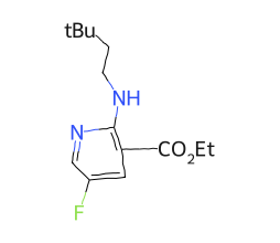 CCOC(=O)c1cc(F)cnc1NCCC(C)(C)C